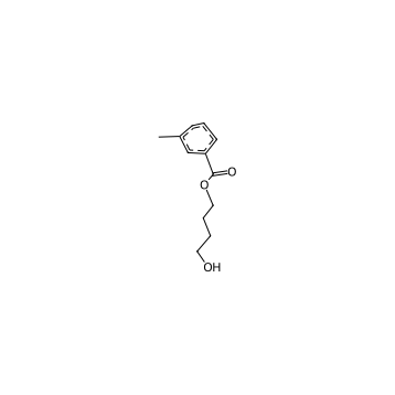 Cc1cccc(C(=O)OCCCCO)c1